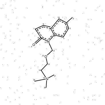 Cc1ccc2c(ccc(=O)n2COCC[Si](C)(C)C)c1